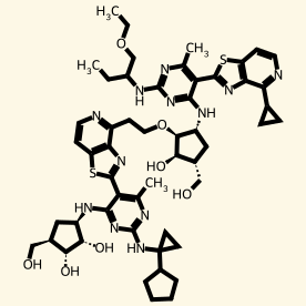 CCOCC(CC)Nc1nc(C)c(-c2nc3c(C4CC4)nccc3s2)c(N[C@@H]2C[C@H](CO)[C@@H](O)[C@H]2OCCc2nccc3sc(-c4c(C)nc(NC5(C6CCCC6)CC5)nc4N[C@@H]4C[C@H](CO)[C@@H](O)[C@H]4O)nc23)n1